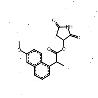 COc1ccc2c(C(C)C(=O)OC3CC(=O)NC3=O)cccc2c1